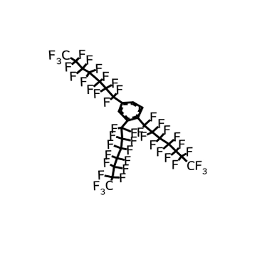 FC(F)(F)C(F)(F)C(F)(F)C(F)(F)C(F)(F)C(F)(F)C(F)(F)c1ccc(C(F)(F)C(F)(F)C(F)(F)C(F)(F)C(F)(F)C(F)(F)C(F)(F)F)c(C(F)(F)C(F)(F)C(F)(F)C(F)(F)C(F)(F)C(F)(F)C(F)(F)F)c1